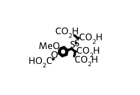 COc1cc(C(SSC(CC(=O)O)C(=O)O)C(CC(=O)O)C(=O)O)ccc1OCC(=O)O